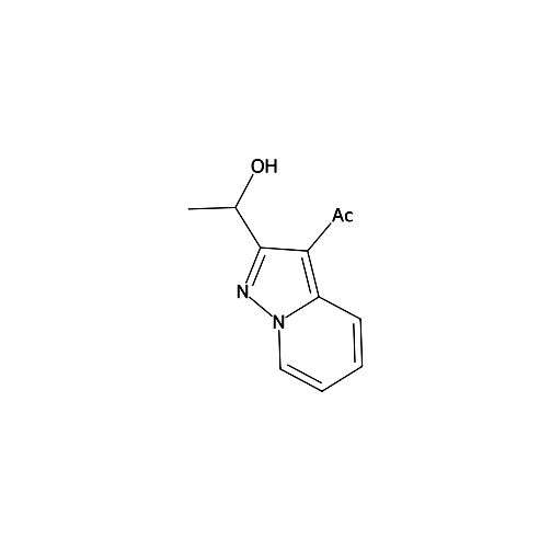 CC(=O)c1c(C(C)O)nn2ccccc12